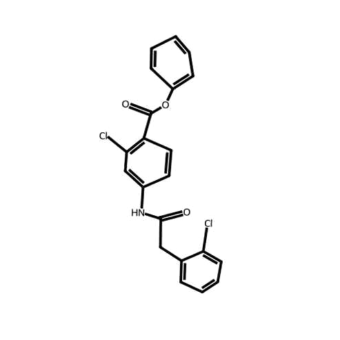 O=C(Cc1ccccc1Cl)Nc1ccc(C(=O)Oc2ccccc2)c(Cl)c1